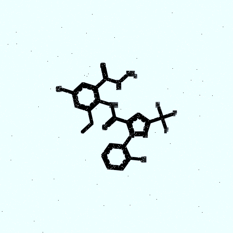 CCc1cc(Cl)cc(C(=O)NN)c1NC(=O)c1cc(C(F)(F)F)nn1-c1ccccc1Cl